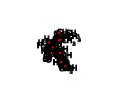 CO[C@@H]1[C@@H](O)[C@H](O[C@@H]2[C@@H](O)[C@H](O[C@H]3[C@H](O)[C@@H](O)[C@H](O[C@H]4[C@H](O[C@H]5CC[C@]6(C)[C@@H]7CC[C@]89C(=O)O[C@@](C)(CCC=C(C)C)[C@H]8[C@@H](OC(C)=O)C[C@@]9(C)C7=CC[C@H]6C5(C)C)OC[C@@H](OS(=O)(=O)[O-])[C@@H]4O)C[C@@H]3C)OC[C@H]2O)O[C@H](CO)[C@H]1O.[Na+]